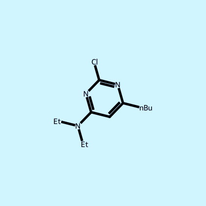 CCCCc1cc(N(CC)CC)nc(Cl)n1